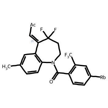 CC(=O)/C=C1/c2cc(C)ccc2N(C(=O)c2cc[c]([Rb])cc2C(F)(F)F)CCC1(F)F